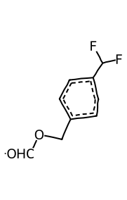 O=[C]OCc1ccc(C(F)F)cc1